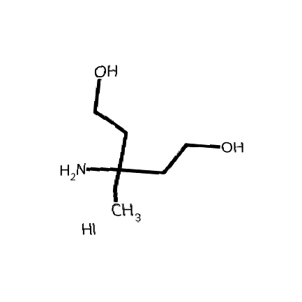 CC(N)(CCO)CCO.I